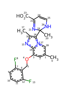 Cc1cc(OCc2c(F)cccc2F)c2nc(C)c(C3(C)N=C(C(=O)O)C=CN3)n2c1